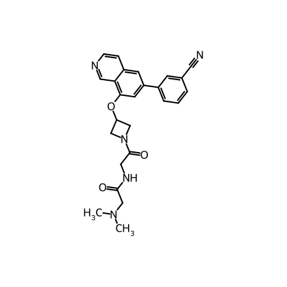 CN(C)CC(=O)NCC(=O)N1CC(Oc2cc(-c3cccc(C#N)c3)cc3ccncc23)C1